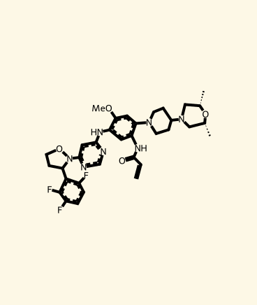 C=CC(=O)Nc1cc(Nc2cc(N3OCCC3c3c(F)ccc(F)c3F)ncn2)c(OC)cc1N1CCC(N2C[C@@H](C)O[C@@H](C)C2)CC1